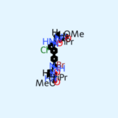 COC(=O)N[C@H](C(=O)N1[C@@H]2C[C@@H]2C[C@H]1c1nc(-c2ccc(-c3ccc4c(c3)c(Cl)cc3[nH]c([C@@H]5C[C@H]6C[C@H]6N5C(=O)[C@@H](NC(=O)OC)C(C)C)nc34)cc2)c(Br)[nH]1)C(C)C